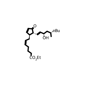 CCCC[C@H](C)C[C@H](O)/C=C/[C@H]1C(=O)C=C[C@@H]1C/C=C\CCCC(=O)OCC